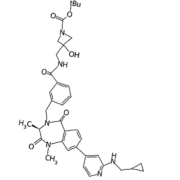 C[C@@H]1C(=O)N(C)c2cc(-c3ccnc(NCC4CC4)c3)ccc2C(=O)N1Cc1cccc(C(=O)NCC2(O)CN(C(=O)OC(C)(C)C)C2)c1